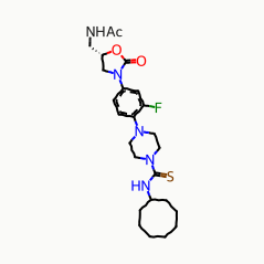 CC(=O)NC[C@H]1CN(c2ccc(N3CCN(C(=S)NC4CCCCCCC4)CC3)c(F)c2)C(=O)O1